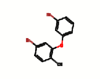 N#Cc1ccc(Br)cc1Oc1cccc(Br)c1